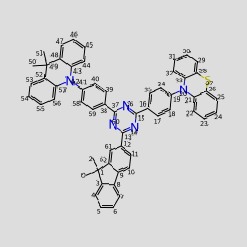 CC1(C)c2ccccc2-c2ccc(-c3nc(-c4ccc(N5c6ccccc6Sc6ccccc65)cc4)nc(-c4ccc(N5c6ccccc6C(C)(C)c6ccccc65)cc4)n3)cc21